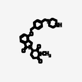 CN1C(=O)CCC(N2Cc3c(OCc4ccc(CN5CCNCC5)cc4)cccc3C2=O)C1=O